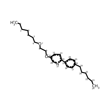 CCCCCCCOCCOc1ccc(-c2ccc(CCCCCC)cc2)nc1